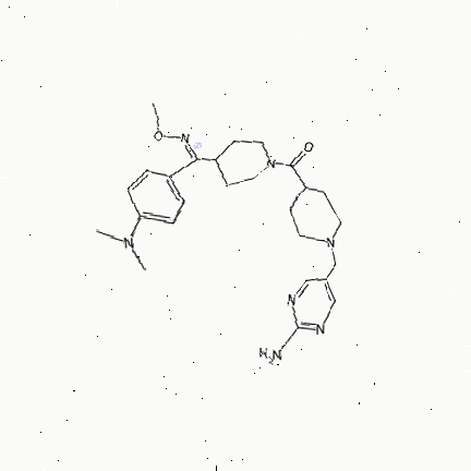 CO/N=C(\c1ccc(N(C)C)cc1)C1CCN(C(=O)C2CCN(Cc3cnc(N)nc3)CC2)CC1